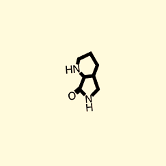 O=C1NCC2CCCNC12